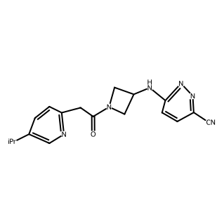 CC(C)c1ccc(CC(=O)N2CC(Nc3ccc(C#N)nn3)C2)nc1